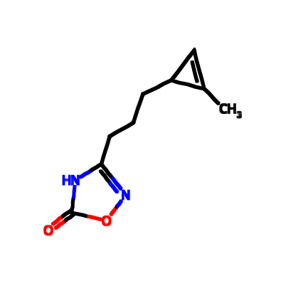 CC1=CC1CCCc1noc(=O)[nH]1